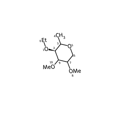 CCO[C@H]1C(C)O[CH]C(OC)C1OC